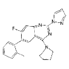 Cc1ccccc1-c1cc2c(N3CCCC3)nc(-n3cccn3)nc2cc1F